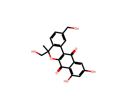 CC1(CO)OC2=C(C(=O)c3cc(O)cc(O)c3C2=O)c2cc(CO)ccc21